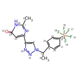 Cc1nc(-c2cn(C(C)c3ccc(S(F)(F)(F)(F)F)cc3)nn2)cc(=O)[nH]1